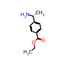 CCOC(=O)c1ccc([C@@H](C)N)cc1